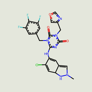 CN1C=C2C=C(Nc3nc(=O)n(Cc4cocn4)c(=O)n3Cc3cc(F)c(F)c(F)c3)C(Cl)=CC2N1